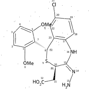 COc1cccc(OC)c1[C@H]1S[C@H](CC(=O)O)C(=NN)Nc2ccc(Cl)cc21